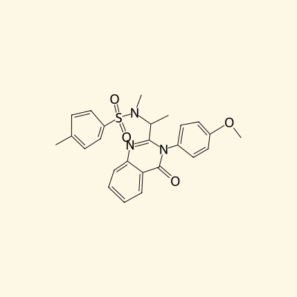 COc1ccc(-n2c(C(C)N(C)S(=O)(=O)c3ccc(C)cc3)nc3ccccc3c2=O)cc1